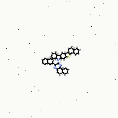 c1ccc2cc(-c3nc4ccc5ccccc5c4nc3-n3c4ccccc4c4cc5c(cc43)sc3c4ccccc4ccc53)ccc2c1